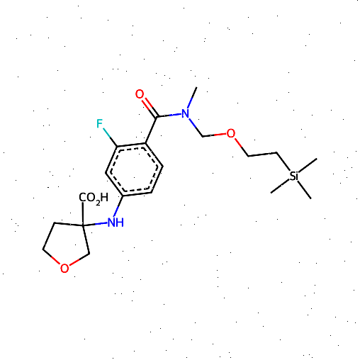 CN(COCC[Si](C)(C)C)C(=O)c1ccc(NC2(C(=O)O)CCOC2)cc1F